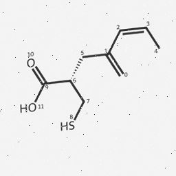 C=C(/C=C\C)C[C@H](CS)C(=O)O